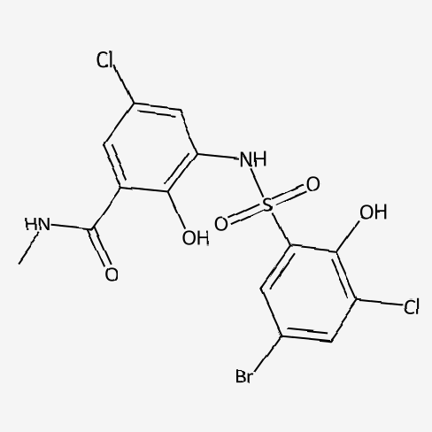 CNC(=O)c1cc(Cl)cc(NS(=O)(=O)c2cc(Br)cc(Cl)c2O)c1O